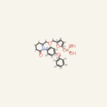 O=C1CCCC(COCc2ccc(OP(O)O)o2)N1c1ccc(Oc2ccccc2)cc1